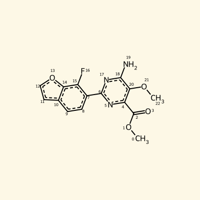 COC(=O)c1nc(-c2ccc3ccoc3c2F)nc(N)c1OC